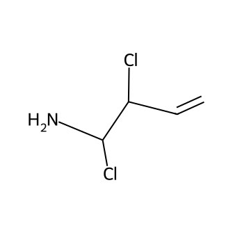 C=CC(Cl)C(N)Cl